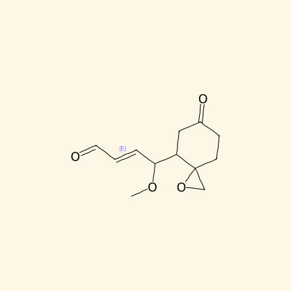 COC(/C=C/C=O)C1CC(=O)CCC12CO2